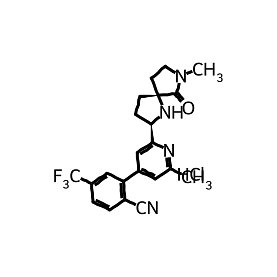 Cc1cc(-c2cc(C(F)(F)F)ccc2C#N)cc([C@H]2CC[C@]3(CCN(C)C3=O)N2)n1.Cl